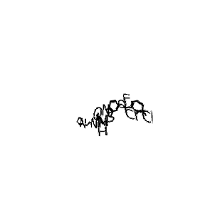 CC(Oc1ccc2nc(NC(=O)NCCN3CCCC3)sc2c1)c1c(F)ccc(Cl)c1Cl